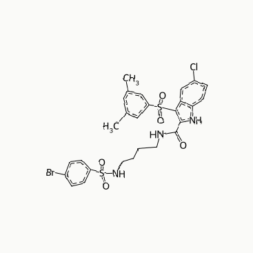 Cc1cc(C)cc(S(=O)(=O)c2c(C(=O)NCCCCNS(=O)(=O)c3ccc(Br)cc3)[nH]c3ccc(Cl)cc23)c1